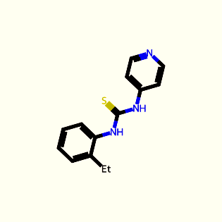 CCc1ccccc1NC(=S)Nc1ccncc1